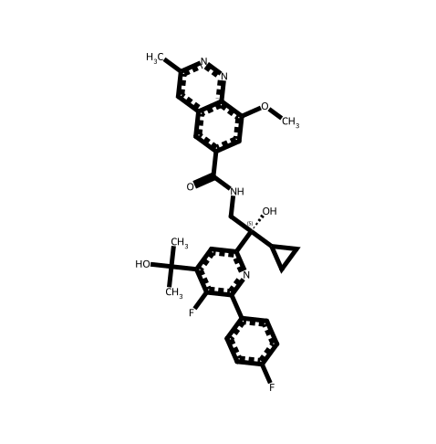 COc1cc(C(=O)NC[C@](O)(c2cc(C(C)(C)O)c(F)c(-c3ccc(F)cc3)n2)C2CC2)cc2cc(C)nnc12